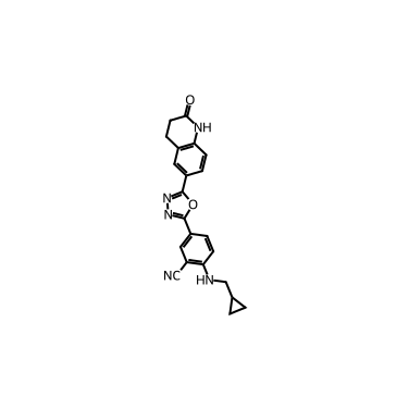 N#Cc1cc(-c2nnc(-c3ccc4c(c3)CCC(=O)N4)o2)ccc1NCC1CC1